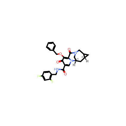 O=C(NCc1ccc(F)cc1F)c1cn2c(c(OCc3ccccc3)c1=O)C(=O)N1CC3C[C@@H]3C[C@H]2C1